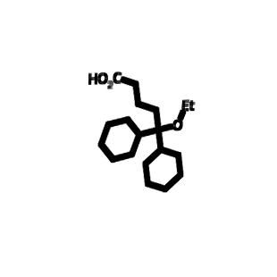 CCOC(CCCC(=O)O)(C1CCCCC1)C1CCCCC1